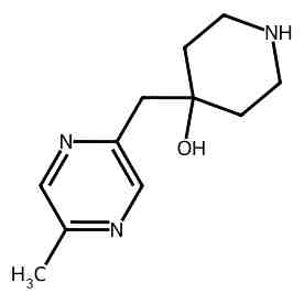 Cc1cnc(CC2(O)CCNCC2)cn1